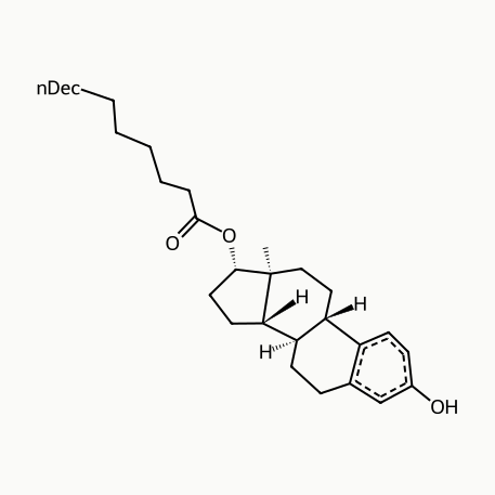 CCCCCCCCCCCCCCCC(=O)O[C@H]1CC[C@H]2[C@@H]3CCc4cc(O)ccc4[C@H]3CC[C@]12C